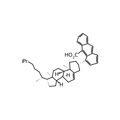 CC(C)CCC[C@@H](C)[C@H]1CC[C@H]2[C@@H]3CC=C4C[C@@H](c5cccc6cc7ccccc7c(C(=O)O)c56)CC[C@]4(C)[C@H]3CC[C@]12C